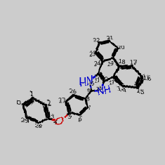 c1ccc(Oc2ccc(C3Nc4c(c5ccccc5c5ccccc45)N3)cc2)cc1